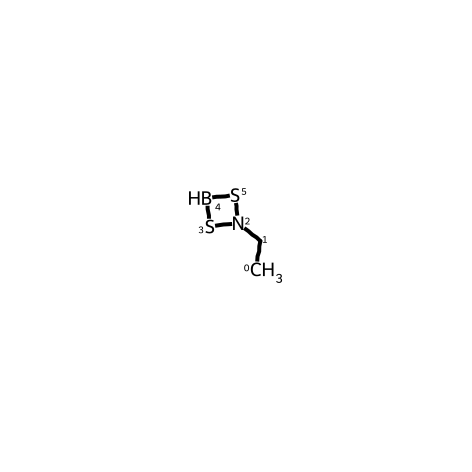 CCN1SBS1